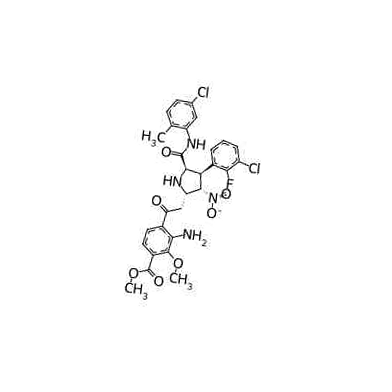 COC(=O)c1ccc(C(=O)C[C@@H]2N[C@@H](C(=O)Nc3cc(Cl)ccc3C)[C@@H](c3cccc(Cl)c3F)[C@@H]2[N+](=O)[O-])c(N)c1OC